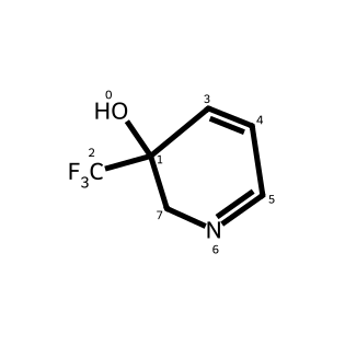 OC1(C(F)(F)F)C=CC=NC1